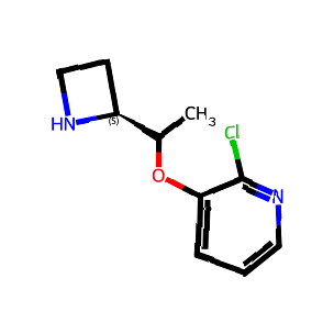 CC(Oc1cccnc1Cl)[C@@H]1CCN1